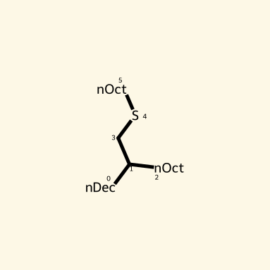 CCCCCCCCCCC(CCCCCCCC)CSCCCCCCCC